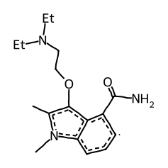 CCN(CC)CCOc1c(C)n(C)c2cc[c]c(C(N)=O)c12